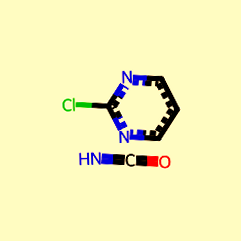 Clc1ncccn1.N=C=O